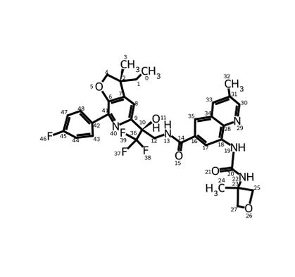 CC[C@@]1(C)COc2c1cc([C@](O)(CNC(=O)c1cc(NC(=O)NC3(C)COC3)c3ncc(C)cc3c1)C(F)(F)F)nc2-c1ccc(F)cc1